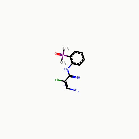 CP(C)(=O)c1ccccc1NC(=N)/C(Cl)=C\N